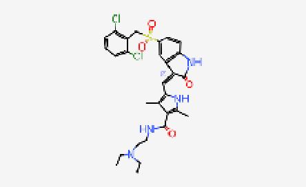 CCN(CC)CCNC(=O)c1c(C)[nH]c(/C=C2\C(=O)Nc3ccc(S(=O)(=O)Cc4c(Cl)cccc4Cl)cc32)c1C